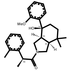 COc1ccccc1[C@]1(O)CCC(C)(C)[C@H]2CN(C(=O)[C@@H](C)c3ccccc3C)C[C@H]21